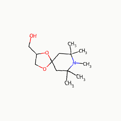 CN1C(C)(C)CC2(CC1(C)C)OCC(CO)O2